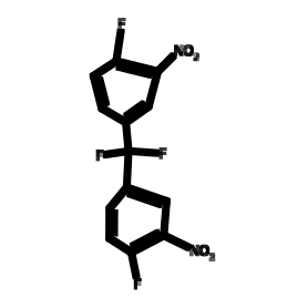 O=[N+]([O-])c1cc(C(F)(F)c2ccc(F)c([N+](=O)[O-])c2)ccc1F